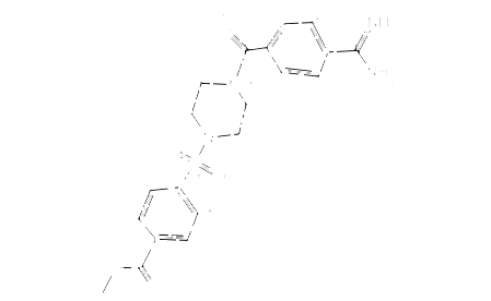 COC(=O)c1ccc(S(=O)(=O)N2CCN(C(=O)c3ccc(C(=N)N)cc3)CC2)cc1